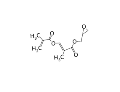 C=C(C)C(=O)OC=C(C)C(=O)OCC1CO1